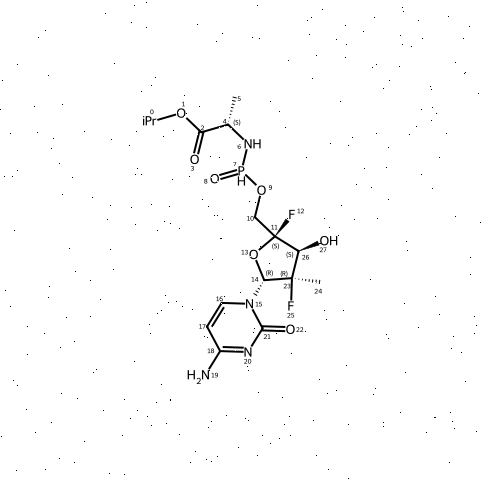 CC(C)OC(=O)[C@H](C)N[PH](=O)OC[C@@]1(F)O[C@@H](n2ccc(N)nc2=O)[C@](C)(F)[C@@H]1O